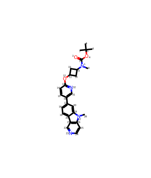 CN(C(=O)OC(C)(C)C)C1CC(Oc2ccc(-c3ccc4c5cnccc5n(C)c4c3)cn2)C1